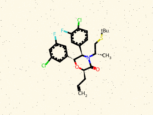 C=CC[C@H]1O[C@H](c2cc(F)cc(Cl)c2)[C@@H](c2ccc(Cl)c(F)c2)N([C@@H](C)CSC(C)(C)C)C1=O